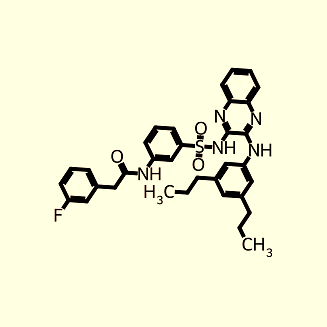 CCCc1cc(CCC)cc(Nc2nc3ccccc3nc2NS(=O)(=O)c2cccc(NC(=O)Cc3cccc(F)c3)c2)c1